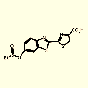 CCS(=O)Oc1ccc2nc(C3=N[C@@H](C(=O)O)CS3)sc2c1